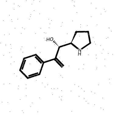 C=C(c1ccccc1)[C@H](O)[C@H]1CCCN1